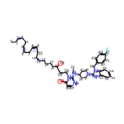 CC/C=C\C/C=C\C/C=C\C/C=C\CCCCC(=O)CCn1c(N(C)C2CCN(c3nc4ccccc4n3Cc3ccc(F)cc3)CC2)nccc1=O